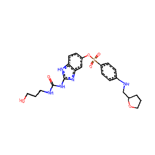 O=C(NCCCO)Nc1nc2cc(OS(=O)(=O)c3ccc(NCC4CCCO4)cc3)ccc2[nH]1